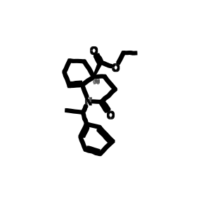 CCOC(=O)[C@]12CCCC=C1N(C(C)c1ccccc1)C(=O)CC2